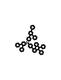 c1ccc(-c2ccc(-c3ccc(N(c4ccc(-c5cccc6c(-c7ccccc7)c(-c7ccccc7)c7ccccc7c56)cc4)c4ccc(-c5ccccc5)c(-c5ccccc5)c4)cc3)c(-c3ccccc3)c2)cc1